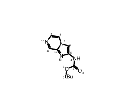 CC(C)(C)OC(=O)Nc1cn2ccncc2n1